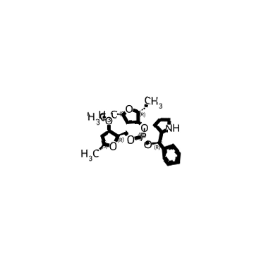 CC[C@H]1O[C@@H](C)CC1O[P@@](OC[C@H]1O[C@@H](C)CC1OC)O[C@H](c1ccccc1)C1CCCN1